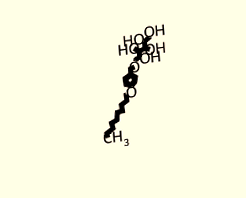 CCCCCCCCCCOc1ccc(COCC(O)C(O)C(O)C(O)CO)cc1